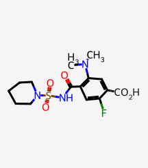 CN(C)c1cc(C(=O)O)c(F)cc1C(=O)NS(=O)(=O)N1CCCCC1